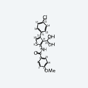 COc1ccc(C(=O)Nc2scc(-c3ccc(Cl)cc3)c2C(O)O)cc1